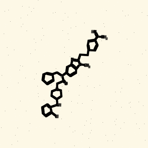 Cn1c(CCc2ccc(C(=N)N)cc2)nc2cc(N(Cc3ccccc3)C(=O)CN3CCC(Nc4ccccc4Cl)CC3)ccc21